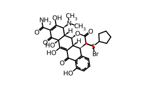 CN(C)[C@@H]1C(O)=C(C(N)=O)C(=O)[C@@]2(O)C(O)=C3C(=O)c4c(O)cccc4[C@H](CSC4CCCC4)[C@H]3[C@H](OC(=O)CCBr)[C@@H]12